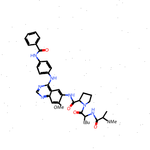 CNC(C)C(=O)NC(C(=O)N1CCCC1C(=O)Nc1cc2c(Nc3ccc(NC(=O)c4ccccc4)cc3)ncnc2cc1OC)C(C)(C)C